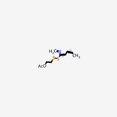 C=N/C(=C\C=C/C)SSCCOC(C)=O